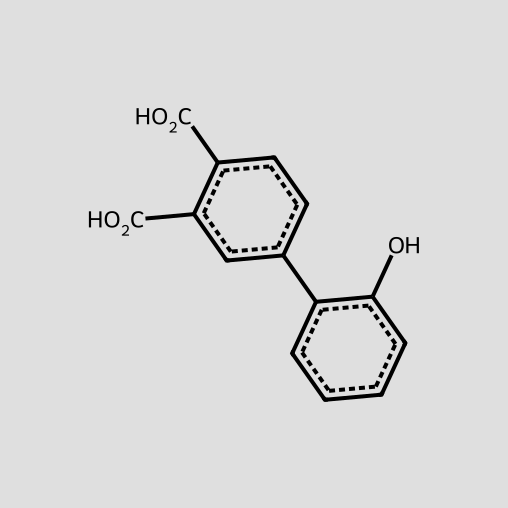 O=C(O)c1ccc(-c2ccccc2O)cc1C(=O)O